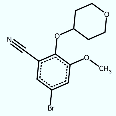 COc1cc(Br)cc(C#N)c1OC1CCOCC1